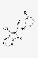 Bc1cccc2nc(C3=C(N=O)c4ccccc4C3=O)ccc12